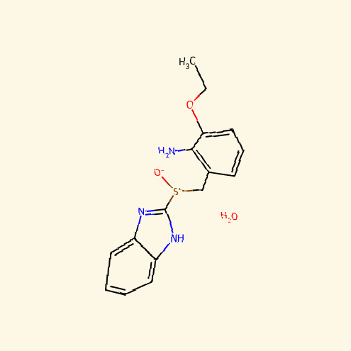 CCOc1cccc(C[S+]([O-])c2nc3ccccc3[nH]2)c1N.O